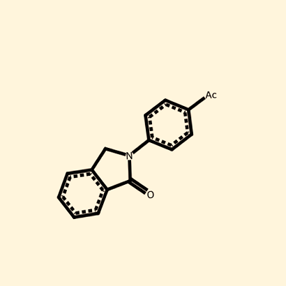 CC(=O)c1ccc(N2Cc3ccccc3C2=O)cc1